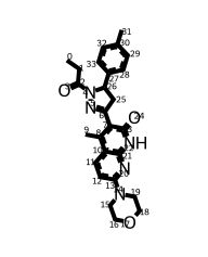 CCC(=O)N1N=C(c2c(C)c3ccc(N4CCOCC4)nc3[nH]c2=O)CC1c1ccc(C)cc1